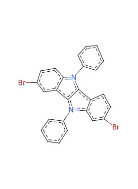 Brc1ccc2c(c1)c1c(c3ccc(Br)cc3n1-c1ccccc1)n2-c1ccccc1